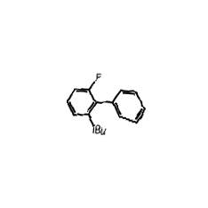 CCC(C)c1cccc(F)c1-c1ccccc1